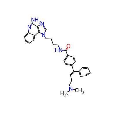 CN(C)CCC=C(c1ccccc1)c1ccc(C(=O)NCCCCn2cnc3c(N)nc4ccccc4c32)cc1